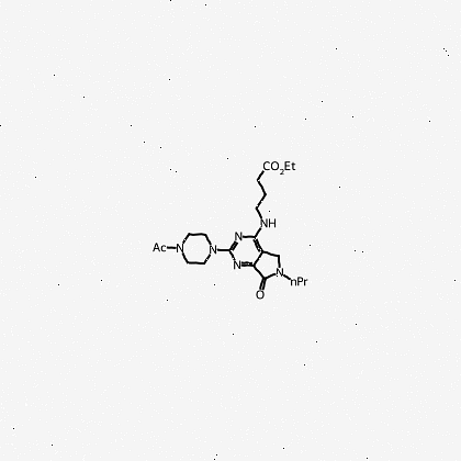 CCCN1Cc2c(NCCCC(=O)OCC)nc(N3CCN(C(C)=O)CC3)nc2C1=O